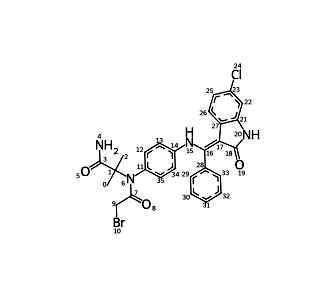 CC(C)(C(N)=O)N(C(=O)CBr)c1ccc(NC(=C2C(=O)Nc3cc(Cl)ccc32)c2ccccc2)cc1